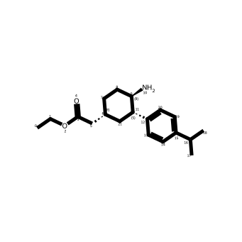 CCOC(=O)C[C@@H]1CC[C@@H](N)[C@H](c2ccc(C(C)C)cc2)C1